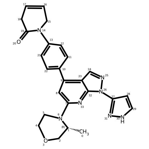 C[C@@H]1COCCN1c1cc(-c2ccc(N3CC=CCC3=O)cc2)c2cnn(-c3cc[nH]n3)c2n1